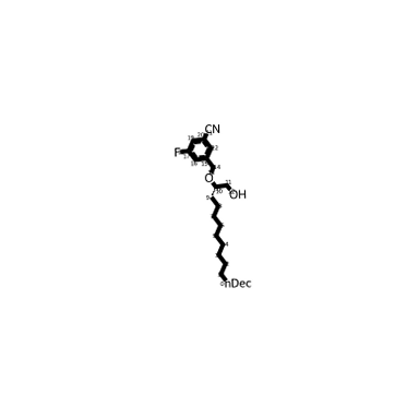 CCCCCCCCCCCCCCCCCCC[C@@H](CO)OCc1cc(F)cc(C#N)c1